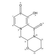 O=C1c2c(O)c(=O)ccn2CC2OCCCN12